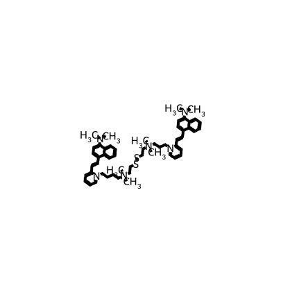 CN(C)c1ccc(/C=C/c2cccc[n+]2CCCC[N+](C)(C)CCSSCC[N+](C)(C)CCC[n+]2ccccc2/C=C/c2ccc(N(C)C)c3ccccc23)c2ccccc12